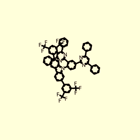 FC(F)(F)c1cc(-c2ccc3c4ccc(-c5cc(C(F)(F)F)cc(C(F)(F)F)c5)cc4n(-c4ccc(-c5nc(-c6ccccc6)cc(-c6ccccc6)n5)cc4-c4nc(-c5ccccc5)cc(-c5ccccc5)n4)c3c2)cc(C(F)(F)F)c1